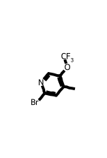 Cc1cc(Br)ncc1OC(F)(F)F